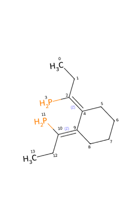 CC/C(P)=C1\CCCC\C1=C(\P)CC